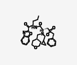 CCCC(NC(=O)[C@H](CS(=O)(=O)Cc1ccccc1)N(CC1CCOCC1)CC1CC1)C(=O)c1nc2ccccc2o1